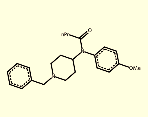 CCCC(=O)N(c1ccc(OC)cc1)C1CCN(Cc2ccccc2)CC1